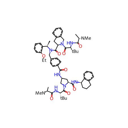 CCOc1ccccc1[C@@H](C)N(Cc1ccc(C(=O)N[C@H]2C[C@@H](C(=O)N[C@@H]3CCCc4ccccc43)N(C(=O)[C@@H](NC(=O)[C@H](C)NC)C(C)(C)C)C2)cc1)C(=O)C1Cc2ccccc2CN1C(=O)[C@@H](NC(=O)[C@H](C)NC)C(C)(C)C